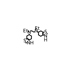 CCN(CCN(CC)C1CCC2=C(C1)SCN2)C1CCC2=C(C1)SCN2